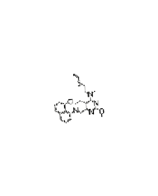 C=CSCCN(C)c1nc(OC)nc2c1CCN(c1cccc3cccc(Cl)c13)C2